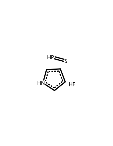 F.P=S.c1cc[nH]c1